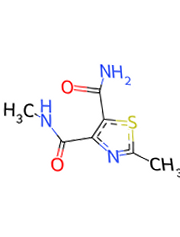 CNC(=O)c1nc(C)sc1C(N)=O